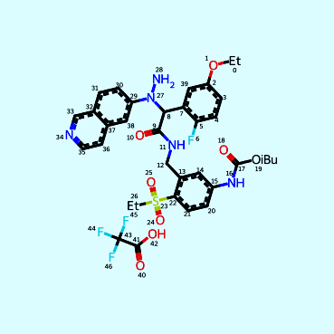 CCOc1ccc(F)c(C(C(=O)NCc2cc(NC(=O)OCC(C)C)ccc2S(=O)(=O)CC)N(N)c2ccc3cnccc3c2)c1.O=C(O)C(F)(F)F